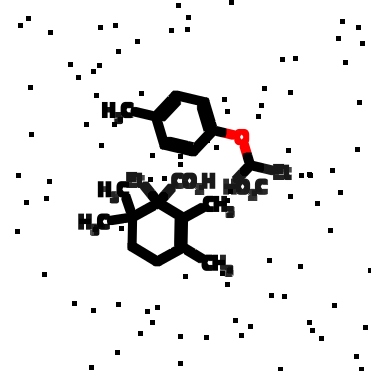 CCC(Oc1ccc(C)cc1)C(=O)O.CCC1(C(=O)O)C(C)=C(C)CCC1(C)C